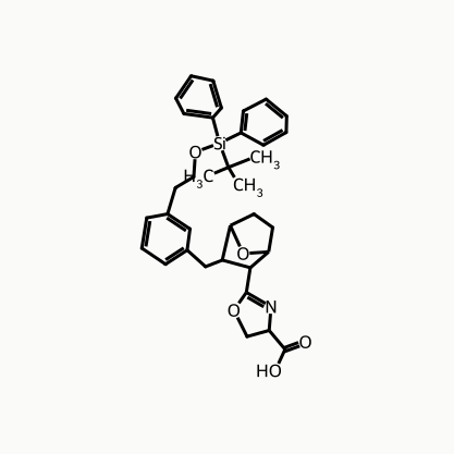 CC(C)(C)[Si](OCCc1cccc(CC2C3CCC(O3)C2C2=NC(C(=O)O)CO2)c1)(c1ccccc1)c1ccccc1